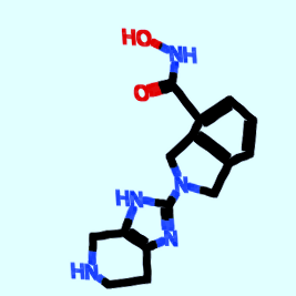 O=C(NO)c1cccc2c1CN(c1nc3c([nH]1)CNCC3)C2